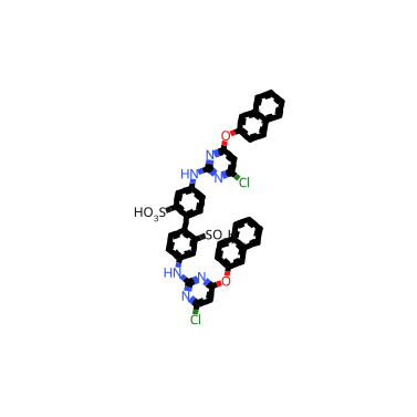 O=S(=O)(O)c1cc(Nc2nc(Cl)cc(Oc3ccc4ccccc4c3)n2)ccc1-c1ccc(Nc2nc(Cl)cc(Oc3ccc4ccccc4c3)n2)cc1S(=O)(=O)O